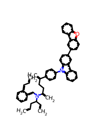 C=C/C=c1/cccc/c1=C\N(C(=C)CCC(=C)c1ccc(-n2c3ccccc3c3cc(-c4ccc5oc6ccccc6c5c4)ccc32)cc1)C(C=C)CC=C